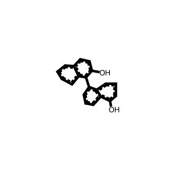 Oc1ccc2ccccc2c1-c1cccc2c(O)cccc12